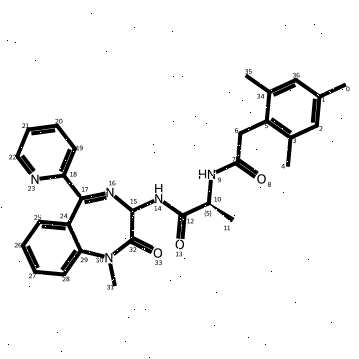 Cc1cc(C)c(CC(=O)N[C@@H](C)C(=O)NC2N=C(c3ccccn3)c3ccccc3N(C)C2=O)c(C)c1